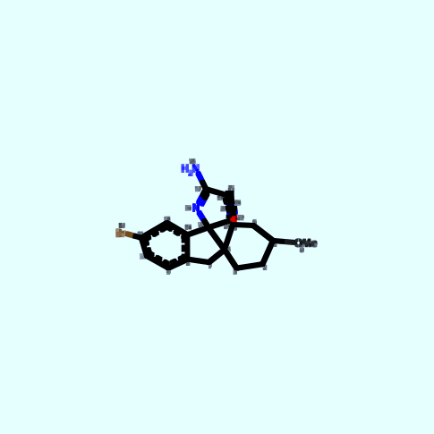 COC1CCC2(CC1)Cc1ccc(Br)cc1C21N=C(N)c2ccncc21